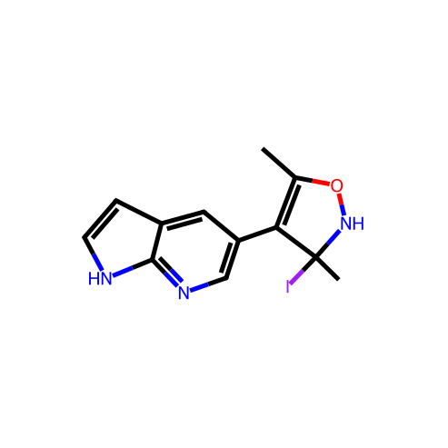 CC1=C(c2cnc3[nH]ccc3c2)C(C)(I)NO1